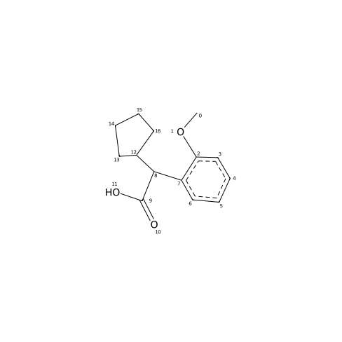 COc1ccccc1C(C(=O)O)C1CCCC1